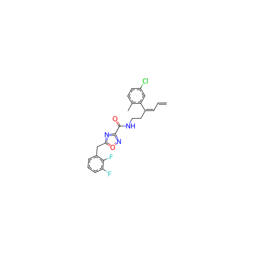 C=C/C=C(/CCNC(=O)c1noc(Cc2cccc(F)c2F)n1)c1cc(Cl)ccc1C